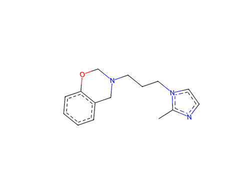 Cc1nccn1CCCN1COc2ccccc2C1